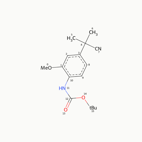 COc1cc(C(C)(C)C#N)ccc1NC(=O)OC(C)(C)C